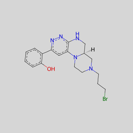 Oc1ccccc1-c1cc2c(nn1)NC[C@H]1CN(CCCBr)CCN21